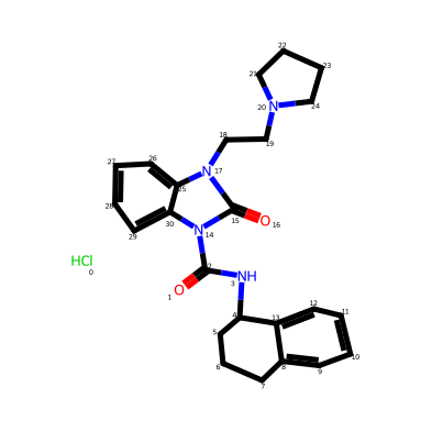 Cl.O=C(NC1CCCc2ccccc21)n1c(=O)n(CCN2CCCC2)c2ccccc21